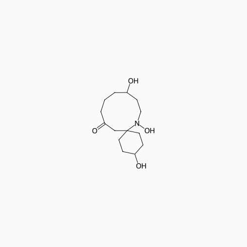 O=C1CCCC(O)CCN(O)C2(CCC(O)CC2)C1